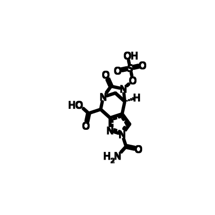 NC(=O)n1cc2c(n1)C(C(=O)O)N1C[C@H]2N(OS(=O)(=O)O)C1=O